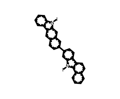 In1c2ccccc2c2cc3ccc(-c4ccc5c6ccc7ccccc7c6n(I)c5c4)cc3cc21